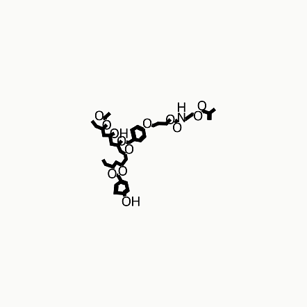 C=C(C)C(=O)OCCNC(=O)OCCCOc1ccc(C2OC(CC(O)CC(CC)OC(C)=O)CC(CC3CC(CC)OC(c4ccc(O)cc4)O3)O2)cc1